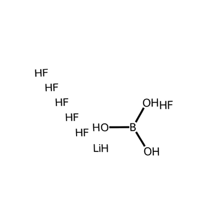 F.F.F.F.F.F.OB(O)O.[LiH]